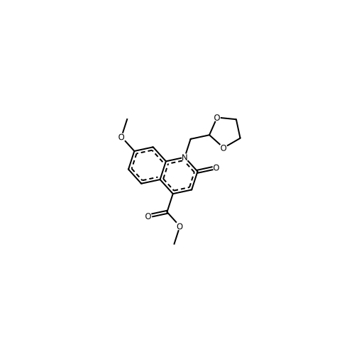 COC(=O)c1cc(=O)n(CC2OCCO2)c2cc(OC)ccc12